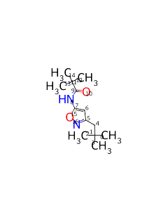 CC(C)(C)Cc1cc(NC(=O)C(C)(C)C)on1